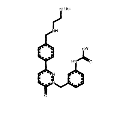 CCCC(=O)Nc1cccc(Cn2nc(-c3ccc(CNCCNC(C)=O)cc3)ccc2=O)c1